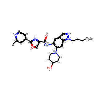 COCCCn1ncc2cc(NC(=O)c3coc(-c4ccnc(C)c4)n3)c(N3CCC(O)CC3)cc21